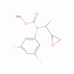 CC(C1CO1)N(C(=O)OC(C)(C)C)c1cc(F)cc(F)c1